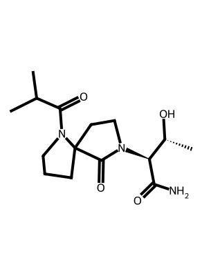 CC(C)C(=O)N1CCCC12CCN([C@H](C(N)=O)[C@@H](C)O)C2=O